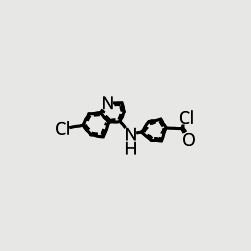 O=C(Cl)c1ccc(Nc2ccnc3cc(Cl)ccc23)cc1